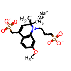 COc1ccc2c(c1)N(CCCS(=O)(=O)[O-])C(C)(C)C=C2CS(=O)(=O)[O-].[Na+].[Na+]